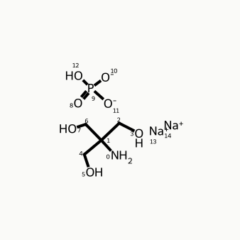 NC(CO)(CO)CO.O=P([O-])([O-])O.[Na+].[Na+]